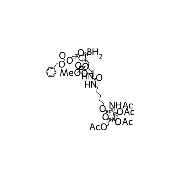 B[C@@H]1O[C@H](COC(=O)OCc2ccccc2)C(OP(=O)(O)OC)[C@@H]1CCCNC(=O)NCCCCCO[C@@H]1O[C@H](COC(C)=O)[C@H](OC(C)=O)[C@H](OC(C)=O)[C@H]1NC(C)=O